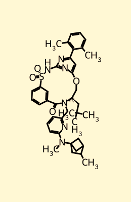 Cc1cccc(C)c1-c1cc2nc(n1)NS(=O)(=O)c1cccc(c1)C(=O)N(Cc1cccc(N(C)C34CC(C)C(C3)C4)n1)[C@H](CC(C)(C)C)CO2